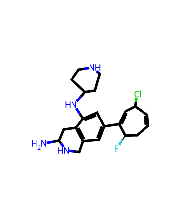 NC1Cc2c(cc(C3=CC(Cl)C=CC[C@H]3F)cc2NC2CCNCC2)CN1